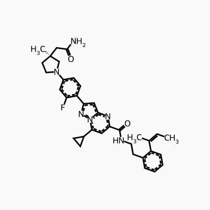 C/C=C(/C)c1ccccc1CCNC(=O)c1cc(C2CC2)n2nc(-c3ccc(N4CC[C@@](C)(CC(N)=O)C4)cc3F)cc2n1